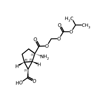 CC(C)OC(=O)OCOC(=O)[C@]1(N)CC[C@H]2[C@H](C(=O)O)[C@H]21